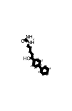 NC(=O)NCCCCC(O)c1ccc(-c2ccccc2)cc1